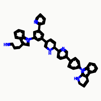 N=C/C=C\c1cn(-c2cc(C3=CNC(c4ccc(-c5ccc(-n6c7c(c8ccccc86)C=CCN7)cc5)cn4)C=C3)cc(-c3ccccn3)c2)c2ccccc12